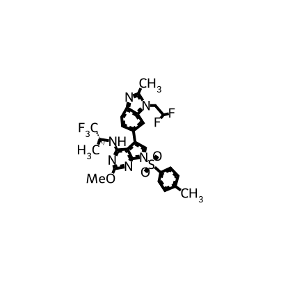 COc1nc(N[C@H](C)C(F)(F)F)c2c(-c3ccc4nc(C)n(CC(F)F)c4c3)cn(S(=O)(=O)c3ccc(C)cc3)c2n1